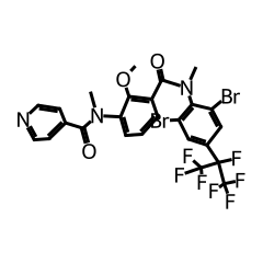 COc1c(C(=O)N(C)c2c(Br)cc(C(F)(C(F)(F)F)C(F)(F)F)cc2Br)cccc1N(C)C(=O)c1ccncc1